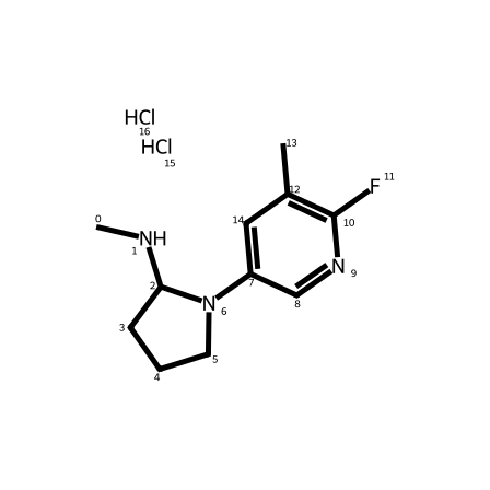 CNC1CCCN1c1cnc(F)c(C)c1.Cl.Cl